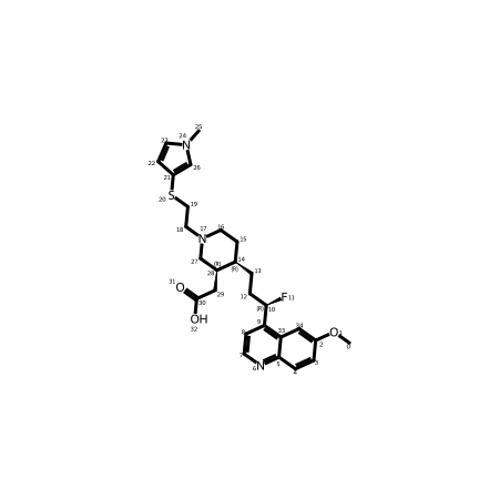 COc1ccc2nccc([C@H](F)CC[C@@H]3CCN(CCSc4ccn(C)c4)C[C@@H]3CC(=O)O)c2c1